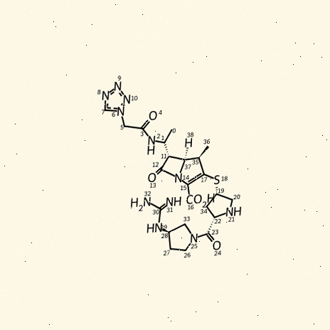 CC(NC(=O)Cn1cnnn1)[C@H]1C(=O)N2C(C(=O)O)=C(S[C@@H]3CN[C@H](C(=O)N4CC[C@@H](NC(=N)N)C4)C3)[C@H](C)[C@H]12